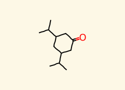 CC(C)C1CC(=O)CC(C(C)C)C1